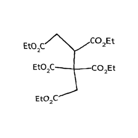 CCOC(=O)CC(C(=O)OCC)C(CC(=O)OCC)(C(=O)OCC)C(=O)OCC